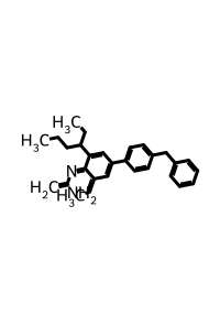 C=C(N)/N=C1/C(C(CC)CCC)=CC(c2ccc(Cc3ccccc3)cc2)=C/C1=C/C